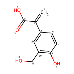 C=C(C(=O)O)c1ccc(O)c(CO)c1